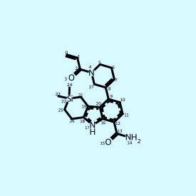 C=CC(=O)N1CCC=C(c2ccc(C(N)=O)c3[nH]c4c(c23)C[Si](C)(C)CC4)C1